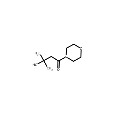 CC(C)(O)CC(=O)N1CCOCC1